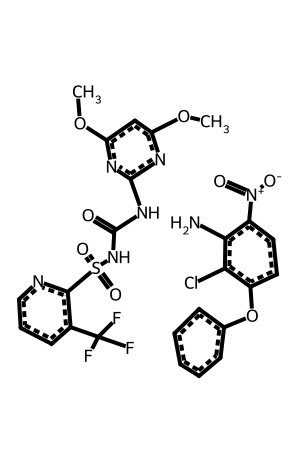 COc1cc(OC)nc(NC(=O)NS(=O)(=O)c2ncccc2C(F)(F)F)n1.Nc1c([N+](=O)[O-])ccc(Oc2ccccc2)c1Cl